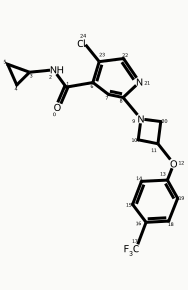 O=C(NC1CC1)c1cc(N2CC(Oc3ccc(C(F)(F)F)cc3)C2)ncc1Cl